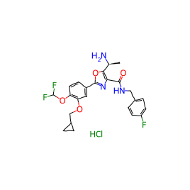 C[C@H](N)c1oc(-c2ccc(OC(F)F)c(OCC3CC3)c2)nc1C(=O)NCc1ccc(F)cc1.Cl